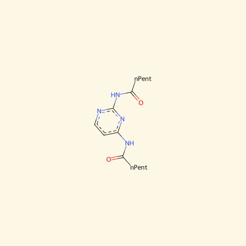 CCCCCC(=O)Nc1ccnc(NC(=O)CCCCC)n1